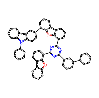 c1ccc(-c2cccc(-c3nc(-c4cccc5c4oc4ccccc45)nc(-c4cccc5c4oc4c(-c6ccc7c(c6)c6ccccc6n7-c6ccccc6)cccc45)n3)c2)cc1